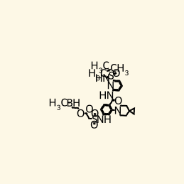 CBCCOC(=O)CS(=O)(=O)Nc1ccc(C(=O)Nc2cccc(S(=N)(=O)C(C)(C)C)n2)c(N2CCC3(CC2)CC3)c1